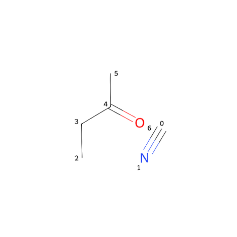 C#N.CCC(C)=O